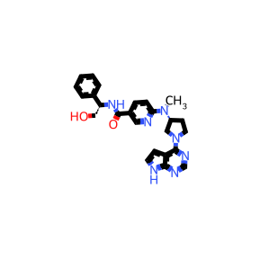 CN(c1ccc(C(=O)N[C@H](CO)c2ccccc2)cn1)[C@@H]1CCN(c2ncnc3[nH]ccc23)C1